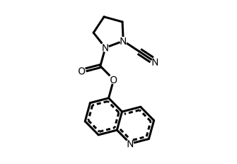 N#CN1CCCN1C(=O)Oc1cccc2ncccc12